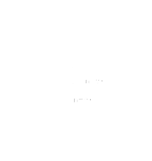 CCCCCCC1(CCCCCC)[CH]C2C=CC1C2